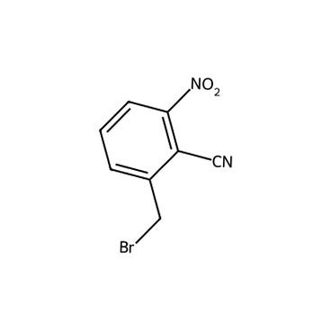 N#Cc1c(CBr)cccc1[N+](=O)[O-]